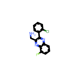 NCc1nc2c(F)cccc2nc1-c1ccccc1Cl